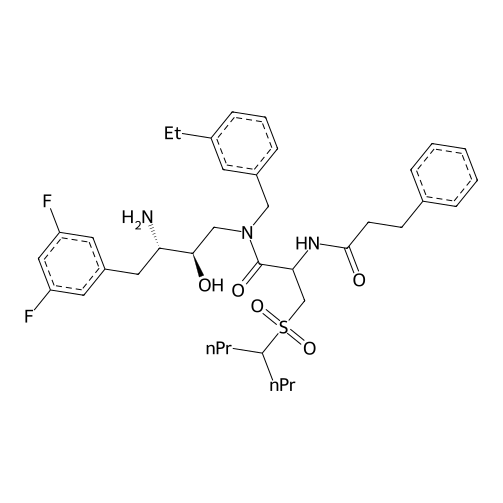 CCCC(CCC)S(=O)(=O)CC(NC(=O)CCc1ccccc1)C(=O)N(Cc1cccc(CC)c1)C[C@@H](O)[C@@H](N)Cc1cc(F)cc(F)c1